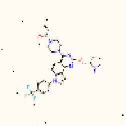 C=CC(=O)N1CCN(c2nc(OC[C@@H]3CCCN3C)nc3c2ccc2c3ccn2-c2ccc(C(F)(F)F)cc2)CC1